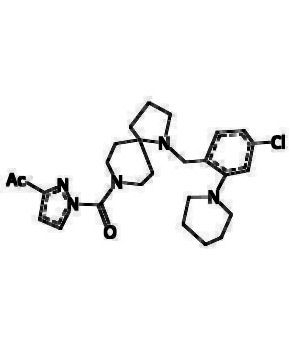 CC(=O)c1ccn(C(=O)N2CCC3(CCCN3Cc3ccc(Cl)cc3N3CCCCC3)CC2)n1